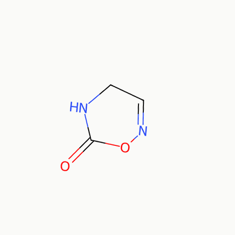 O=C1NCC=NO1